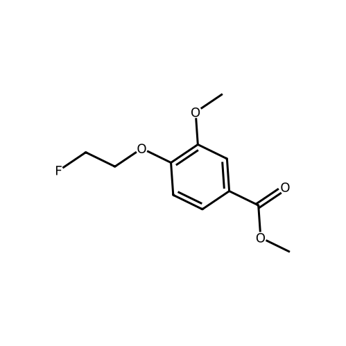 COC(=O)c1ccc(OCCF)c(OC)c1